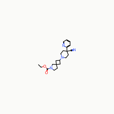 CCOC(=O)N1CCC2(CC(N3CCC(C#N)(c4ccccn4)CC3)C2)C1